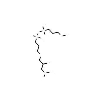 COCCC[Si](C)(C)O[Si](C)(C)CCCOCC(O)CN(C)C